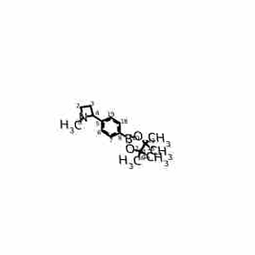 CN1CCC1c1ccc(B2OC(C)(C)C(C)(C)O2)cc1